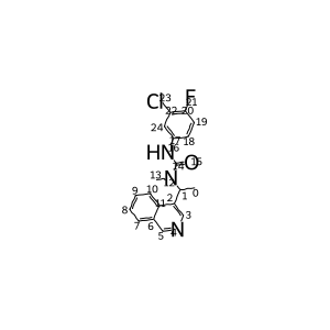 CC(c1cncc2ccccc12)N(C)C(=O)Nc1ccc(F)c(Cl)c1